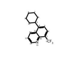 FC(F)(F)c1ccc(C2CCCCC2)c2cccnc12